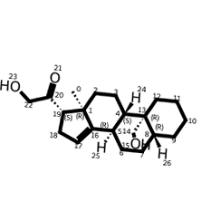 C[C@]12CC[C@H]3[C@@H](CC[C@H]4CCCC[C@@]43CO)C1=CC[C@@H]2C(=O)CO